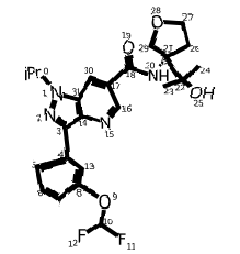 CC(C)n1nc(-c2cccc(OC(F)F)c2)c2ncc(C(=O)N[C@@]3(C(C)(C)O)CCOC3)cc21